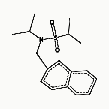 CC(C)N(Cc1ccc2ccccc2c1)S(=O)(=O)C(C)C